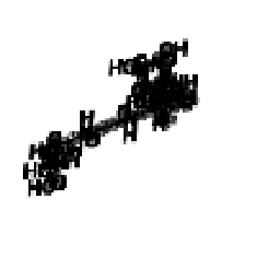 O=C(O)CCC(NC(=O)N[C@@H](CCCCNC(=O)CCCCCCC(=O)NCCCCC(NC(=O)C(Cc1ccccc1)NC(=O)C(Cc1ccccc1)NC(=O)CN1CCN(CC(=O)O)CCN(CC(=O)O)CCN(CC(=O)O)CC1)C(=O)O)C(=O)O)C(=O)O